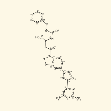 O=C(NC(CC(=O)N1CCc2cc(-c3noc(-c4cc(C(F)(F)F)cc(C(F)(F)F)c4)n3)ccc21)C(=O)O)OCc1ccccc1